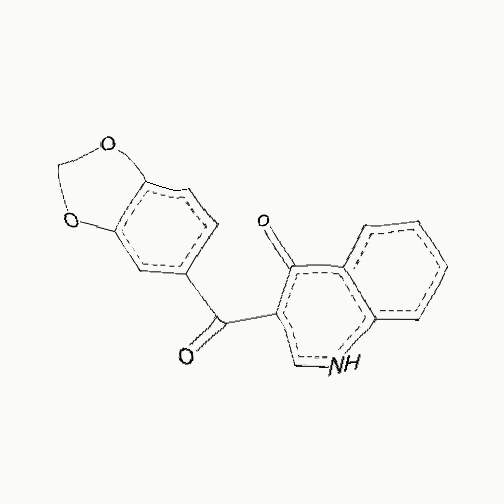 O=C(c1ccc2c(c1)OCO2)c1c[nH]c2ccccc2c1=O